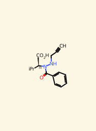 C#CCNN(C(=O)c1ccccc1)[C@H](C(=O)O)C(C)C